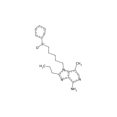 CCCc1nc2c(N)ncc(C)c2n1CCCCC[S+]([O-])c1ccccc1